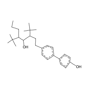 CCCC(C(O)C(CCc1ccc(-c2ccc(O)cc2)cc1)C(C)(C)C)C(C)(C)C